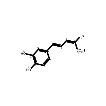 N#CC(=CC=Cc1ccc(O)c(O)c1)C(=O)O